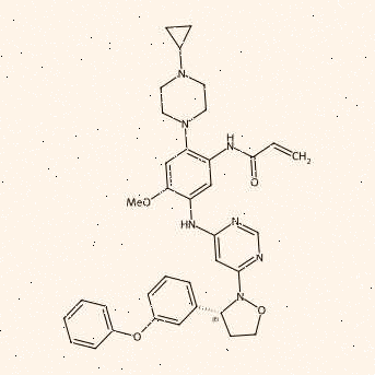 C=CC(=O)Nc1cc(Nc2cc(N3OCC[C@@H]3c3cccc(Oc4ccccc4)c3)ncn2)c(OC)cc1N1CCN(C2CC2)CC1